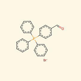 O=Cc1ccc([P+](c2ccccc2)(c2ccccc2)c2ccccc2)cc1.[Br-]